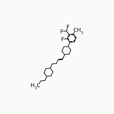 CCCC1CCC(CC/C=C/C2CCC(c3ccc(C)c(C(F)F)c3F)CC2)CC1